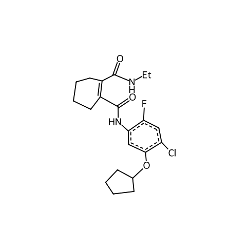 CCNC(=O)C1=C(C(=O)Nc2cc(OC3CCCC3)c(Cl)cc2F)CCCC1